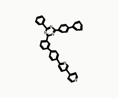 c1ccc(-c2ccc(-c3nc(-c4ccccc4)nc(-c4cccc(-c5ccc(-c6ccc(-c7ccncc7)cn6)cc5)c4)n3)cc2)cc1